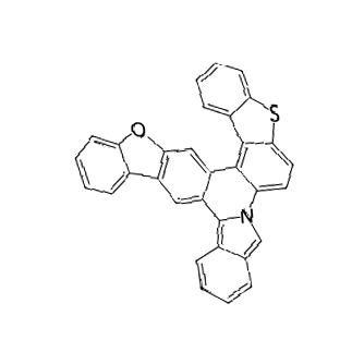 c1ccc2c(c1)cn1c3ccc4sc5ccccc5c4c3c3cc4oc5ccccc5c4cc3c21